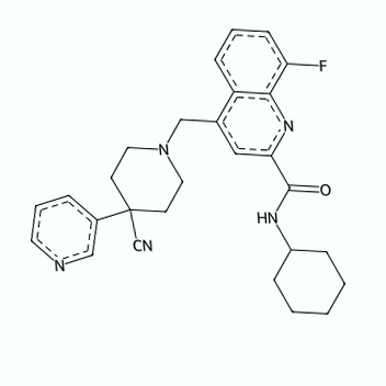 N#CC1(c2cccnc2)CCN(Cc2cc(C(=O)NC3CCCCC3)nc3c(F)cccc23)CC1